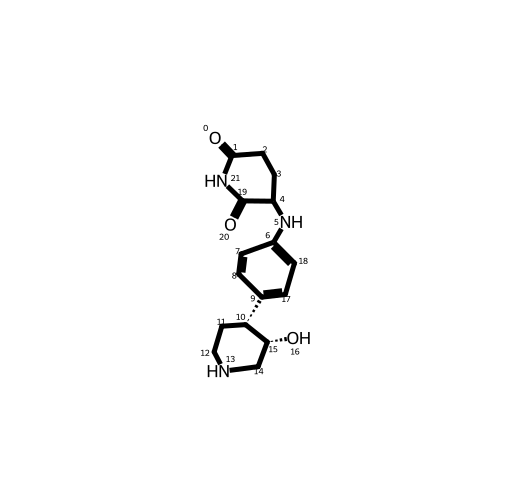 O=C1CCC(Nc2ccc([C@H]3CCNC[C@H]3O)cc2)C(=O)N1